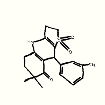 CC1(C)CCC2=C(C1=O)C(c1cccc(C#N)c1)C1=C(CCS1(=O)=O)N2